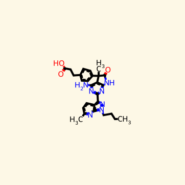 CCCCn1nc(-c2nc(N)c3c(n2)NC(=O)C3(C)c2ccc(CCC(=O)O)cc2)c2ccc(C)nc21